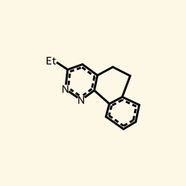 CCc1cc2c(nn1)-c1ccccc1CC2